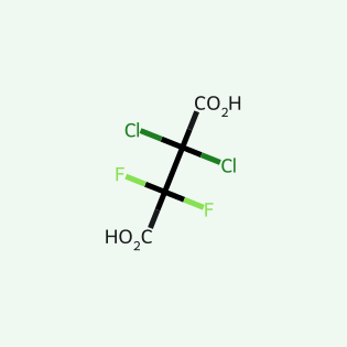 O=C(O)C(F)(F)C(Cl)(Cl)C(=O)O